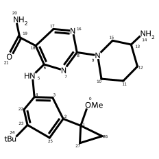 COC1(c2cc(Nc3nc(N4CCCC(N)C4)ncc3C(N)=O)cc(C(C)(C)C)c2)CC1